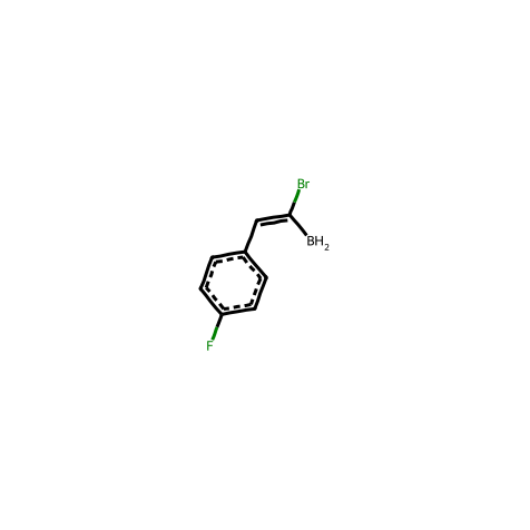 B/C(Br)=C\c1ccc(F)cc1